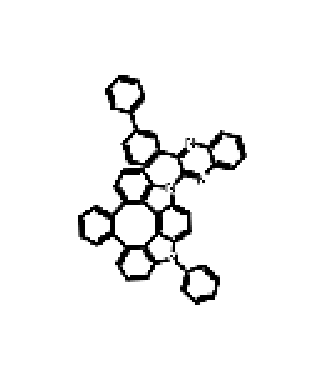 c1ccc(-c2cccc(-c3nc4ccccc4nc3-n3c4cccc5c6ccccc6c6cccc7c6c6c(c54)c3ccc6n7-c3ccccc3)c2)cc1